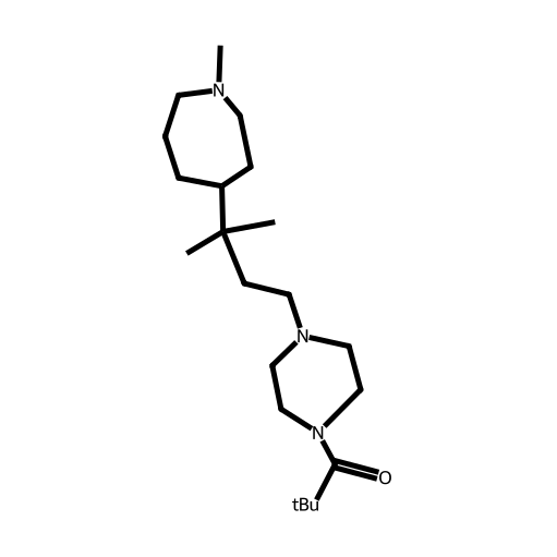 CN1CCCC(C(C)(C)CCN2CCN(C(=O)C(C)(C)C)CC2)CC1